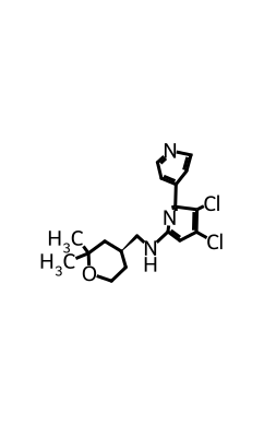 CC1(C)C[C@@H](CNc2cc(Cl)c(Cl)c(-c3ccncc3)n2)CCO1